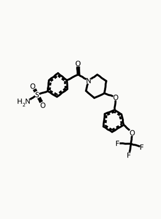 NS(=O)(=O)c1ccc(C(=O)N2CCC(Oc3cccc(OC(F)(F)F)c3)CC2)cc1